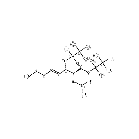 CB(O)N[C@H](CO[Si](C)(C)C(C)(C)C)[C@H](/C=C/CCN)O[Si](C)(C)C(C)(C)C